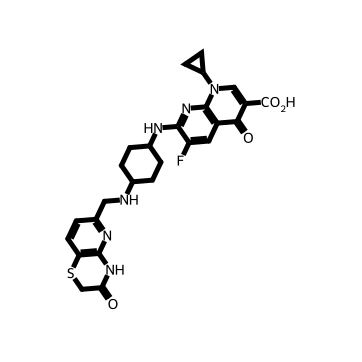 O=C1CSc2ccc(CNC3CCC(Nc4nc5c(cc4F)c(=O)c(C(=O)O)cn5C4CC4)CC3)nc2N1